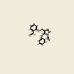 N#Cn1nnc(COc2ccccc2C=O)c1Cc1ccccc1